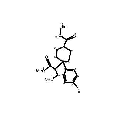 COC(=O)C(CC=O)C1(c2ccc(F)cc2)CCN(C(=O)OC(C)(C)C)CC1